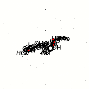 CCN[C@H]1CO[C@@H](O[C@H]2[C@H](O[C@H]3C#CC=CC#C[C@]4(O)CC(=O)C(NC(=O)OC)=C3/C4=C\CSSC(C)(C)CC(=O)N/N=C(\C)c3ccc(OC)cc3)O[C@H](C)[C@@H](NO[C@H]3C[C@H](O)[C@H](SC(=O)c4c(C)c(I)c(O[C@@H]5O[C@@H](C)[C@H](O)[C@@H](OC)[C@H]5O)c(OC)c4OC)[C@@H](C)O3)[C@@H]2O)C[C@@H]1OC